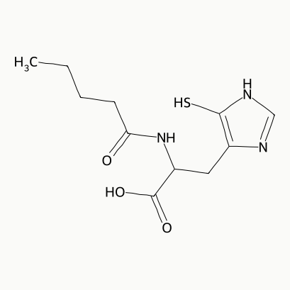 CCCCC(=O)NC(Cc1nc[nH]c1S)C(=O)O